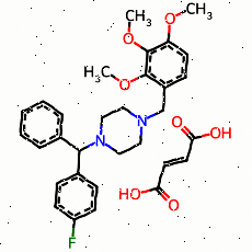 COc1ccc(CN2CCN(C(c3ccccc3)c3ccc(F)cc3)CC2)c(OC)c1OC.O=C(O)/C=C/C(=O)O